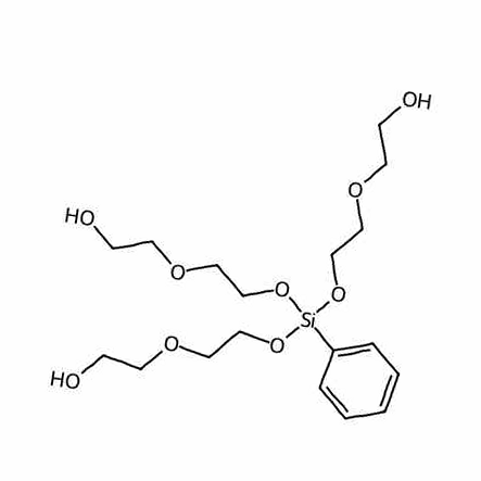 OCCOCCO[Si](OCCOCCO)(OCCOCCO)c1ccccc1